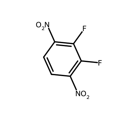 O=[N+]([O-])c1ccc([N+](=O)[O-])c(F)c1F